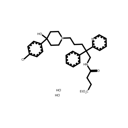 CCOC(=O)CCC(=O)NCC(CCCN1CCC(O)(c2ccc(Cl)cc2)CC1)(c1ccccc1)c1ccccn1.Cl.Cl